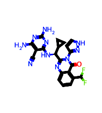 N#Cc1c(N)nc(N)nc1N[C@H](c1nc2cccc(C(F)F)c2c(=O)n1-c1cc[nH]n1)C1CC1